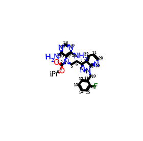 CC(C)OC(=O)N(CCc1nn(Cc2ccccc2F)c2ncccc12)c1c(N)ncnc1N